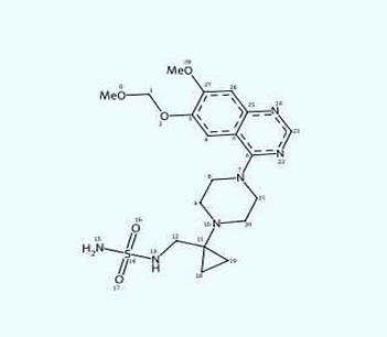 COCOc1cc2c(N3CCN(C4(CNS(N)(=O)=O)CC4)CC3)ncnc2cc1OC